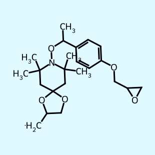 [CH2]C1COC2(CC(C)(C)N(OC(C)c3ccc(OCC4CO4)cc3)C(C)(C)C2)O1